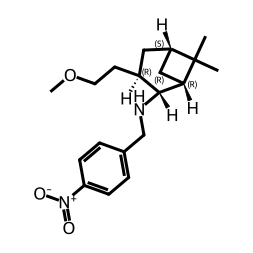 COCC[C@H]1C[C@H]2C[C@@H]([C@@H]1NCc1ccc([N+](=O)[O-])cc1)C2(C)C